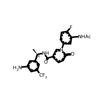 CC(=O)Nc1cc(-n2cc(C(=O)N[C@H](C)c3cc(N)cc(C(F)(F)F)c3)ccc2=O)ccc1F